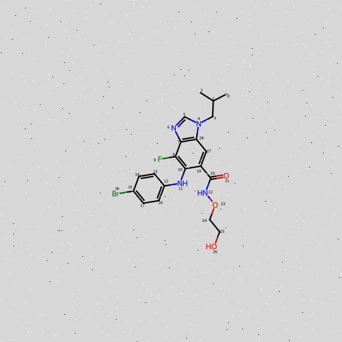 CC(C)Cn1cnc2c(F)c(Nc3ccc(Br)cc3)c(C(=O)NOCCO)cc21